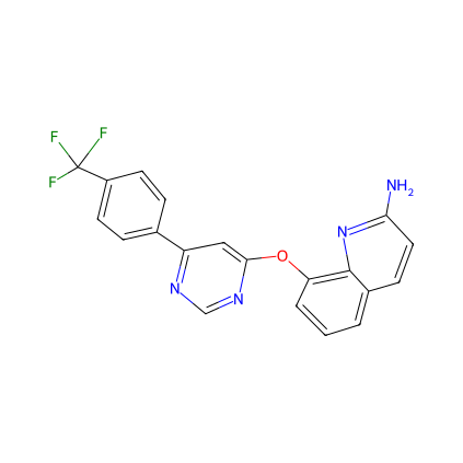 Nc1ccc2cccc(Oc3cc(-c4ccc(C(F)(F)F)cc4)ncn3)c2n1